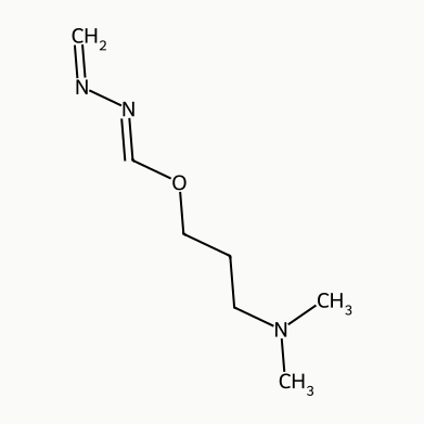 C=N/N=C/OCCCN(C)C